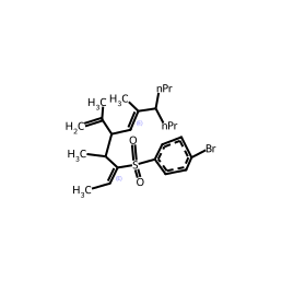 C=C(C)C(/C=C(\C)C(CCC)CCC)C(C)/C(=C\C)S(=O)(=O)c1ccc(Br)cc1